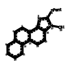 CCCCCc1nc2c3ccc4ccccc4c3ccc2n1O